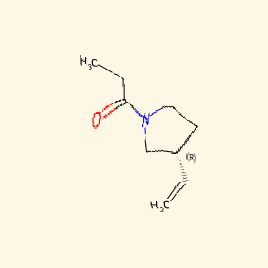 C=C[C@H]1CCN(C(=O)CC)C1